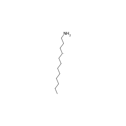 CCCCCCCC[CH]CCCN